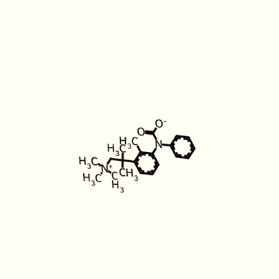 Cc1c(N(C(=O)[O-])c2ccccc2)cccc1C(C)(C)C[N+](C)(C)C